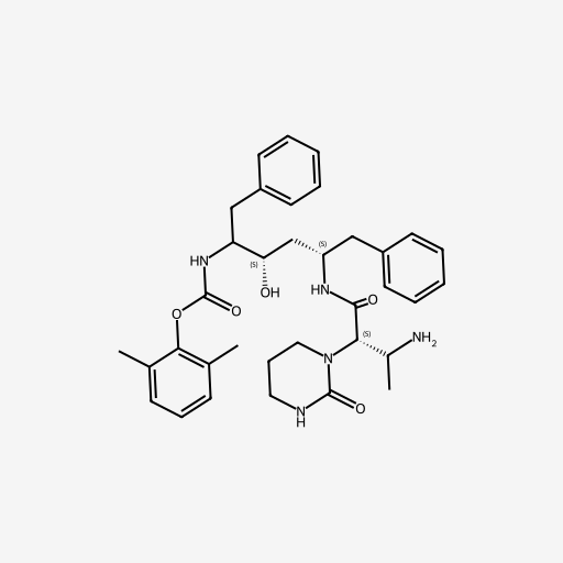 Cc1cccc(C)c1OC(=O)NC(Cc1ccccc1)[C@@H](O)C[C@H](Cc1ccccc1)NC(=O)[C@H](C(C)N)N1CCCNC1=O